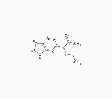 CCCC(C(C)=O)c1ccc2c(c1)OCO2